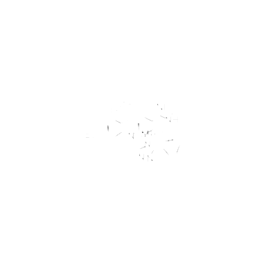 CCOc1cc(OC(C)C)c(F)c(N(Cc2nc(-c3ccccc3OC)nn2C)c2ccc(C(=N)N)cc2)c1